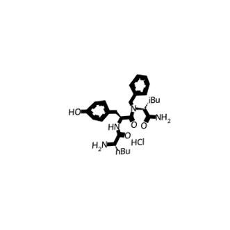 CCCC[C@H](N)C(=O)N[C@@H](Cc1ccc(O)cc1)C(=O)N(Cc1ccccc1)[C@H](C(N)=O)[C@@H](C)CC.Cl